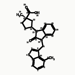 Cc1cccc2scc(Cn3c(=O)n([C@H]4CC[C@@](C)(C(=O)O)C4)c4ccccc43)c12